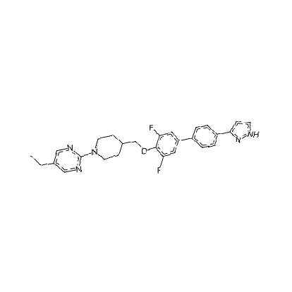 CCc1cnc(N2CCC(COc3c(F)cc(-c4ccc(-c5cc[nH]n5)cc4)cc3F)CC2)nc1